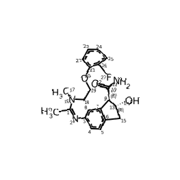 CC(=Nc1ccc2c(c1)[C@@H](C(N)=O)[C@H](O)C2)N(C)CCOc1ccccc1F